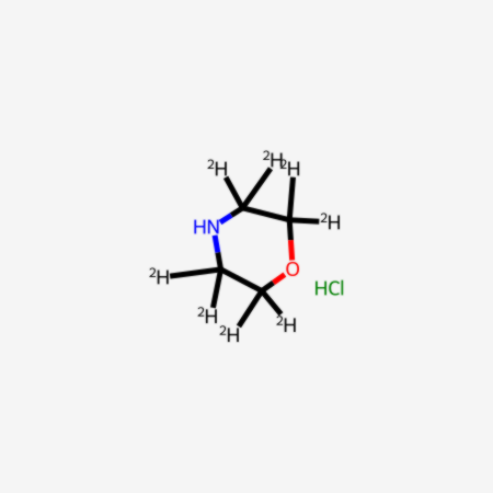 Cl.[2H]C1([2H])NC([2H])([2H])C([2H])([2H])OC1([2H])[2H]